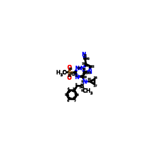 CB(Cc1ccccc1)N(c1nc(S(C)(=O)=O)nn2c(C#N)cnc12)C1CC1